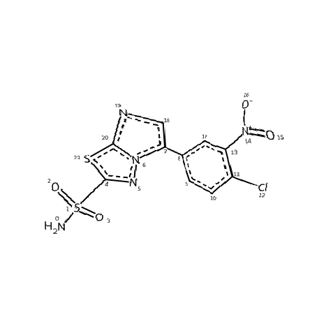 NS(=O)(=O)c1nn2c(-c3ccc(Cl)c([N+](=O)[O-])c3)cnc2s1